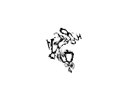 N#Cc1cccnc1C(C1CCOCC1)C(CNC(=O)c1ccccc1O)n1ncc2c(S(=O)(=O)C3CC3)cccc21